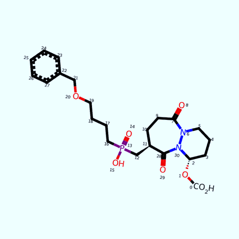 O=C(O)O[C@H]1CCCN2C(=O)CC[C@H](CP(=O)(O)CCCCOCc3ccccc3)C(=O)N12